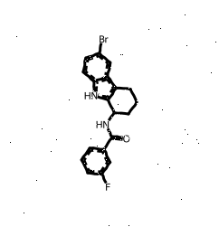 O=C(NC1CCCc2c1[nH]c1ccc(Br)cc21)c1cccc(F)c1